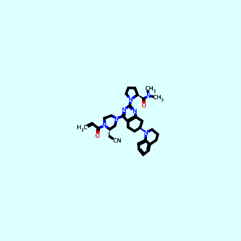 C=CC(=O)N1CCN(c2nc(N3CCC[C@H]3C(=O)N(C)C)nc3c2CC[C@H](N2CCCc4ccccc42)C3)C[C@@H]1CC#N